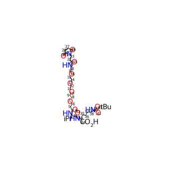 CC(C)[C@H](NC(=O)CCOCCOCCOCCOCCNC(=O)CCN1C(=O)C=CC1=O)C(=O)N[C@@H](CCCCNC(=O)OC(C)(C)C)C(=O)O